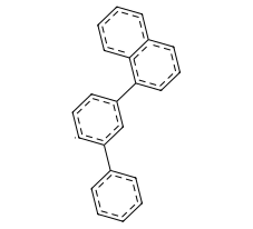 [c]1ccc(-c2cccc3ccccc23)cc1-c1ccccc1